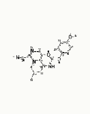 COc1ccc(OC(=O)NN(CC(C)C)c2ccnc(C#N)n2)cc1